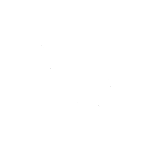 CCCCN(C(=O)CCCCC(=O)N(CCCC)C1CC(C)(C)NC(C)C1C)C1CC(C)(C)NC(C)C1C